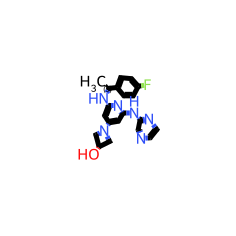 C[C@H](Nc1cc(N2CC(O)C2)cc(Nc2cnccn2)n1)c1ccc(F)cc1